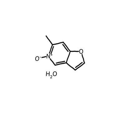 Cc1cc2occc2c[n+]1[O-].O